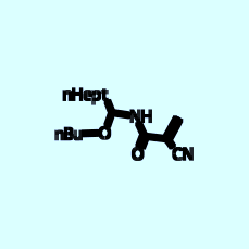 C=C(C#N)C(=O)NC(CCCCCCC)OCCCC